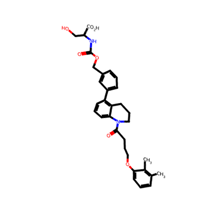 Cc1cccc(OCCCC(=O)N2CCCc3c(-c4cccc(COC(=O)NC(CO)C(=O)O)c4)cccc32)c1C